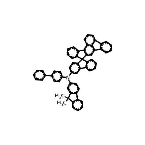 CC1(C)c2ccccc2-c2ccc(N(c3ccc(-c4ccccc4)cc3)c3ccc4c(c3)-c3ccccc3C43c4ccccc4-c4c3cc3c5c(cccc45)-c4ccccc4-3)cc21